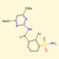 COc1cc(OC)nc(NC(=O)c2cccc(S(N)(=O)=O)c2C(C)=O)n1